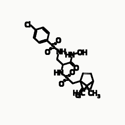 CC1(C)C2CCC1(CS(=O)(=O)NC(CNS(=O)(=O)c1ccc(Cl)cc1)C(=O)NO)C(=O)C2